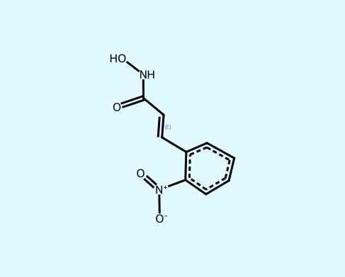 O=C(/C=C/c1ccccc1[N+](=O)[O-])NO